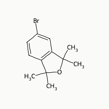 CC1(C)OC(C)(C)c2cc(Br)ccc21